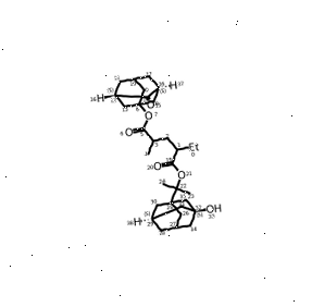 CCC(CC(C)C(=O)OC12CC3C[C@@H](C1)C(=O)[C@@H](C3)C2)C(=O)OC(C)(C)C12CC3C[C@@H](C1)C[C@@](O)(C3)C2